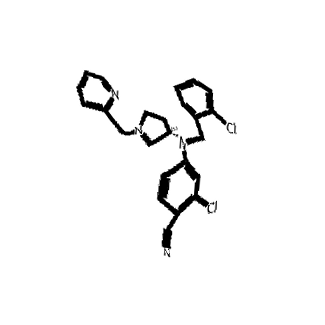 N#Cc1ccc(N(Cc2ccccc2Cl)[C@H]2CCN(Cc3ccccn3)C2)cc1Cl